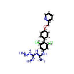 N=NNC(N=N)NC(N)Nc1cc(Cl)c(-c2ccc(OCc3ccccn3)cc2)c(Cl)c1